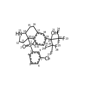 O=S(=O)(c1cccc(Cl)c1)C12CCNC1CCc1cc(C(O)(C(F)(F)F)C(F)(F)F)ccc12